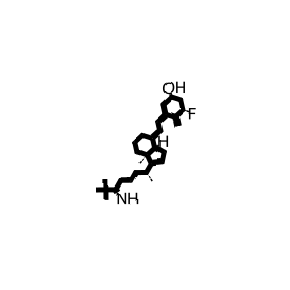 C=C1/C(=C\C=C2/CCC[C@]3(C)C([C@H](C)C/C=C/C(=N)C(C)(C)C)=CC[C@@H]23)C[C@@H](O)C[C@@H]1F